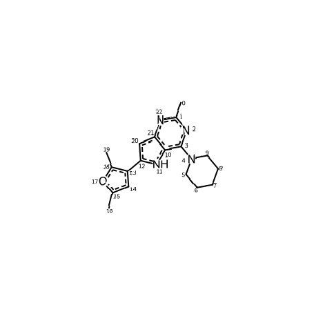 Cc1nc(N2CCCCC2)c2[nH]c(-c3cc(C)oc3C)cc2n1